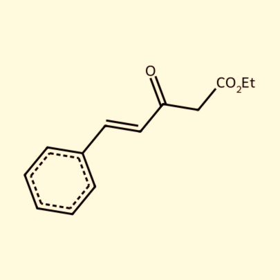 CCOC(=O)CC(=O)C=Cc1ccccc1